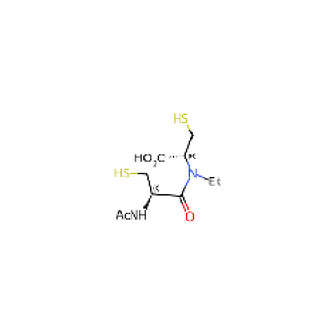 CCN(C(=O)[C@H](CS)NC(C)=O)[C@@H](CS)C(=O)O